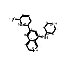 CC1C=CCC(c2cc(NC3CCNCC3)c3c(c2)=CCNC=3)N1